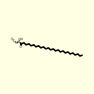 CCCCCCCCCCCCCCCCCCCCCCCCCC(=O)N(O)N=C=O